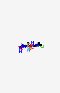 CC1(C)CCC(c2ccc(Cl)cc2)=C(CN2CCN(c3ccc(C(=O)NS(=O)(=O)c4ccc(N[C@H](CCN5CCN(Cc6ccnnc6NC6CCC(=O)NC6=O)CC5)CSc5ccccc5)c(S(=O)(=O)C(F)(F)F)c4)cc3)CC2)C1